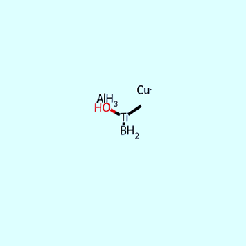 [AlH3].[BH2][Ti]([CH3])[OH].[Cu]